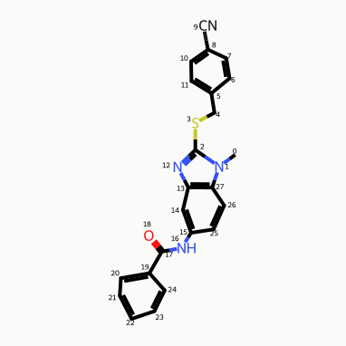 Cn1c(SCc2ccc(C#N)cc2)nc2cc(NC(=O)c3ccccc3)ccc21